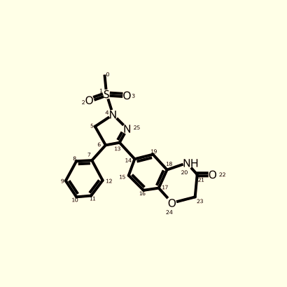 CS(=O)(=O)N1CC(c2ccccc2)C(c2ccc3c(c2)NC(=O)CO3)=N1